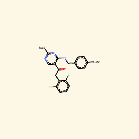 COc1ccc(CNc2nc(SC)ncc2C(=O)Cc2c(F)cccc2Cl)cc1